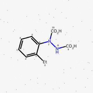 CCc1ccccc1N(NC(=O)O)C(=O)O